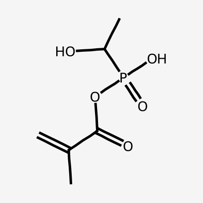 C=C(C)C(=O)OP(=O)(O)C(C)O